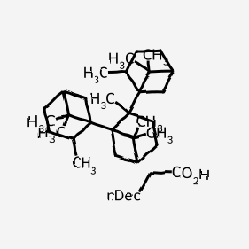 CC1CCC2CC1(C1(C)CCC3CC1(C14CC(CCC1C)C4(C)C)C3(C)C)C2(C)C.CCCCCCCCCCCC(=O)O